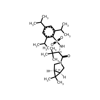 CC(C)c1cc(C(C)C)c(S(=O)(=O)N[C@H](C(=O)N2C[C@@H]3[C@H](C2)C3(C)C)C(C)(C)C)c(C(C)C)c1